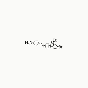 CCOc1cc(Br)ccc1N1CCN(CCC2CCC(N)CC2)CC1